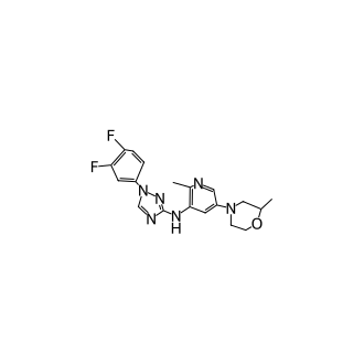 Cc1ncc(N2CCOC(C)C2)cc1Nc1ncn(-c2ccc(F)c(F)c2)n1